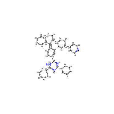 c1ccc(C2=NC(c3ccc(-c4c(-c5ccc(-c6ccncc6)cc5)ccc5ccccc45)cc3)NC(c3ccccc3)=N2)cc1